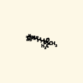 C=C(C)C(=O)OCCCCCCC[SH]1C=CC=C1